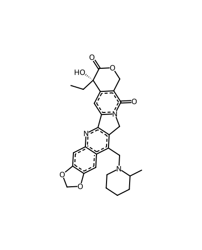 CC[C@@]1(O)C(=O)OCc2c1cc1n(c2=O)Cc2c-1nc1cc3c(cc1c2CN1CCCCC1C)OCO3